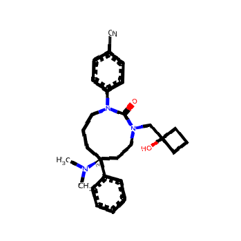 CN(C)[C@@]1(c2ccccc2)CCCN(c2ccc(C#N)cc2)C(=O)N(CC2(O)CCC2)CC1